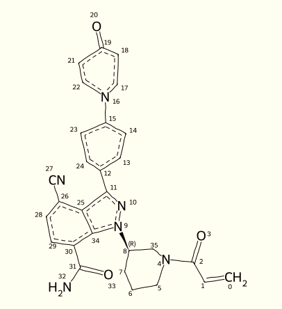 C=CC(=O)N1CCC[C@@H](n2nc(-c3ccc(-n4ccc(=O)cc4)cc3)c3c(C#N)ccc(C(N)=O)c32)C1